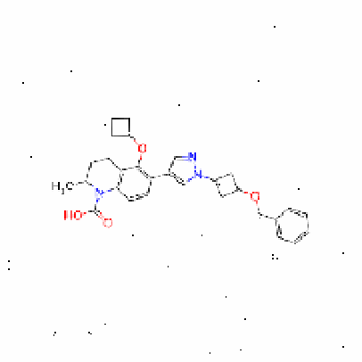 CC1CCc2c(ccc(-c3cnn(C4CC(OCc5ccccc5)C4)c3)c2OC2CCC2)N1C(=O)O